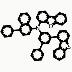 c1ccc(-c2cc(-c3cccc4sc5ccccc5c34)cc(N(c3ccc(-c4ccccc4)c4ccccc34)c3cccc4c3oc3ccccc34)c2)cc1